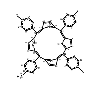 Cc1ccc(C2=C3C=CC(=N3)C(c3ccc(C)cc3)=C3C=CC(=N3)C(c3ccc(N)cc3)=C3C=CC(=N3)C(c3ccc(C)cc3)=C3C=CC2=N3)cc1